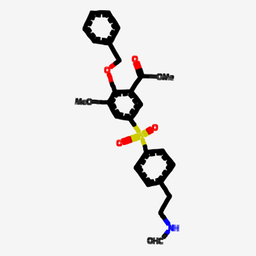 COC(=O)c1cc(S(=O)(=O)c2ccc(CCNC=O)cc2)cc(OC)c1OCc1ccccc1